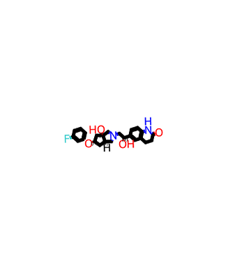 O=C1CCc2cc([C@H](O)CN3C[C@@H]4C[C@@H](Oc5cccc(F)c5)C[C@]4(O)C3)ccc2N1